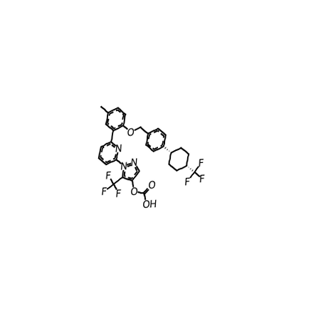 Cc1ccc(OCc2ccc([C@H]3CC[C@@H](C(F)(F)F)CC3)cc2)c(-c2cccc(-n3ncc(OC(=O)O)c3C(F)(F)F)n2)c1